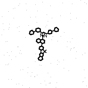 CC1(C)c2cc(-c3ccc(-c4nc(-c5ccc(-c6ccccc6)cc5)cc(-c5cccc(-c6ccccc6)c5)n4)c4ccccc34)ccc2-c2cc3ccccc3cc21